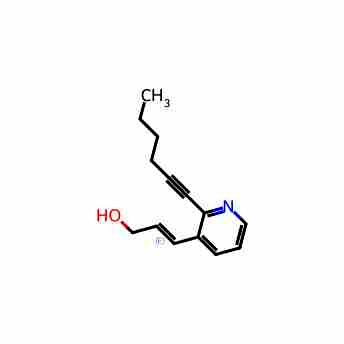 CCCCC#Cc1ncccc1/C=C/CO